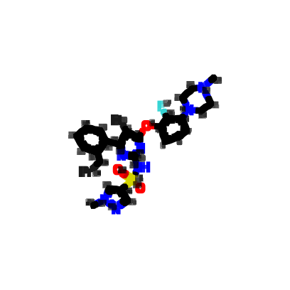 CCc1c(Oc2cccc(N3CCN(C)CC3)c2F)nc(NS(=O)(=O)c2cnn(C)c2)nc1-c1ccccc1CC(C)C